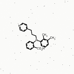 Cc1cccc(N(CCCc2ccncc2)c2ccccc2C(=O)O)c1C